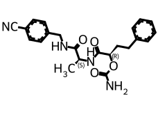 C[C@H](NC(=O)[C@@H](CCc1ccccc1)OC(N)=O)C(=O)NCc1ccc(C#N)cc1